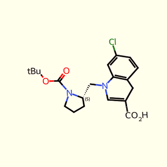 CC(C)(C)OC(=O)N1CCC[C@H]1CN1C=C(C(=O)O)Cc2ccc(Cl)cc21